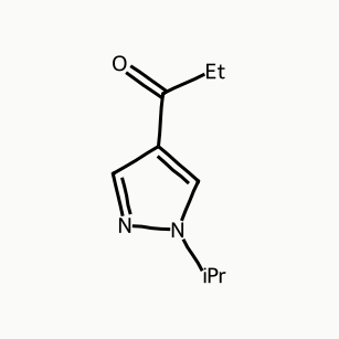 CCC(=O)c1cnn(C(C)C)c1